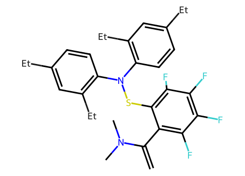 C=C(c1c(F)c(F)c(F)c(F)c1SN(c1ccc(CC)cc1CC)c1ccc(CC)cc1CC)N(C)C